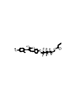 C=CC(=O)OCC(F)(F)C(F)(F)C(F)(F)COc1ccc2cc(-c3ccc(OC)cc3C)c(=O)oc2c1